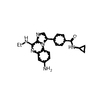 CCNc1nc2cc(N)ccc2n2c(-c3ccc(C(=O)NC4CC4)cc3)cnc12